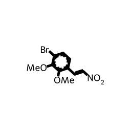 COc1c(Br)ccc(/C=C/[N+](=O)[O-])c1OC